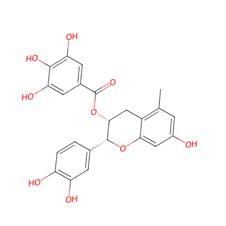 Cc1cc(O)cc2c1C[C@@H](OC(=O)c1cc(O)c(O)c(O)c1)[C@@H](c1ccc(O)c(O)c1)O2